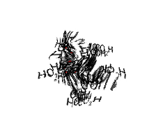 C[C@H](CS)NC(=O)[C@H](CCC(=O)NC[C@H](O)[C@@H](O)[C@H](O)C(=O)O)NC(=O)[C@H](CCC(=O)NC[C@H](O)[C@@H](O)[C@H](O)C(=O)O)NC(=O)[C@H](CCC(=O)NC[C@H](O)[C@@H](O)[C@H](O)C(=O)O)NC(=O)CC[C@H](NC(=O)c1ccc(NCc2cnc3nc(N)[nH]c(=O)c3n2)cc1)C(=O)O